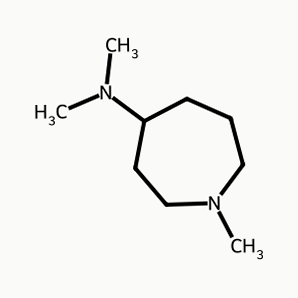 CN1CCCC(N(C)C)CC1